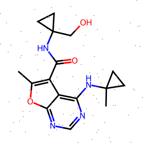 Cc1oc2ncnc(NC3(C)CC3)c2c1C(=O)NC1(CO)CC1